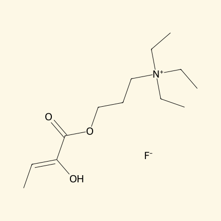 CC=C(O)C(=O)OCCC[N+](CC)(CC)CC.[F-]